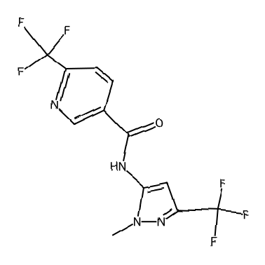 Cn1nc(C(F)(F)F)cc1NC(=O)c1ccc(C(F)(F)F)nc1